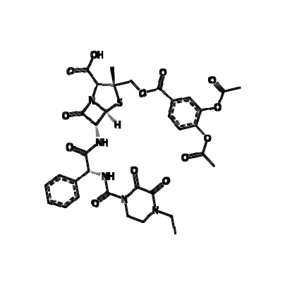 CCN1CCN(C(=O)N[C@@H](C(=O)N[C@@H]2C(=O)N3C(C(=O)O)[C@](C)(COC(=O)c4ccc(OC(C)=O)c(OC(C)=O)c4)S[C@@H]23)c2ccccc2)C(=O)C1=O